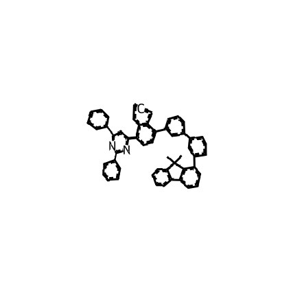 CC1(C)c2ccccc2-c2cccc(-c3cccc(-c4cccc(-c5ccc(-c6cc(-c7ccccc7)nc(-c7ccccc7)n6)c6ccccc56)c4)c3)c21